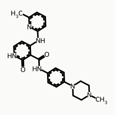 Cc1cccc(Nc2cc[nH]c(=O)c2C(=O)Nc2ccc(N3CCN(C)CC3)cc2)n1